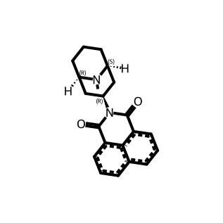 CN1[C@@H]2CCC[C@H]1C[C@@H](N1C(=O)c3cccc4cccc(c34)C1=O)C2